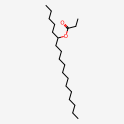 CCCCCCCCCCCCC(CCCCC)OC(=O)CC